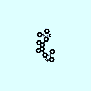 C[Si]1(C)c2ccccc2N(c2ccccc2)c2cc(-c3cc4cc(-c5ccc6c(c5)N(c5ccccc5)c5ccccc5[Si]6(C)C)c5ccccc5c4c4ccccc34)ccc21